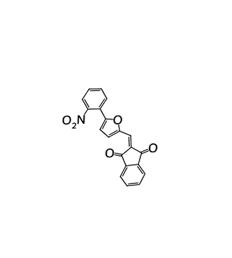 O=C1C(=Cc2ccc(-c3ccccc3[N+](=O)[O-])o2)C(=O)c2ccccc21